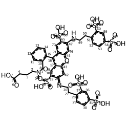 CN(CCCC(=O)O)C(=O)c1ccccc1-c1c2cc(S(=O)(=O)O)/c(=N/CCc3ccc(S(=O)(=O)O)cc3S(=O)(=O)O)cc-2oc2cc(NCCc3ccc(S(=O)(=O)O)cc3S(=O)(=O)O)c(S(=O)(=O)O)cc12